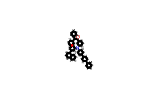 c1ccc(-c2ccc(-c3ccc(N(c4cccc(-c5oc6ccccc6c5-c5ccccc5)c4)c4cccc(-c5cccc6ccccc56)c4)cc3)cc2)cc1